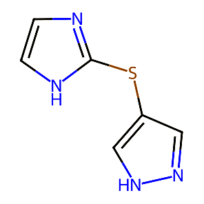 c1c[nH]c(Sc2cn[nH]c2)n1